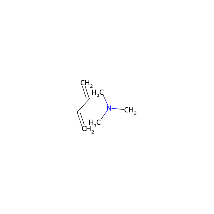 C=CC=C.CN(C)C